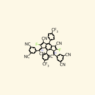 N#CC1=C(F)/C(=C(/C#N)c2cc(C#N)cc(C#N)c2)c2c1c(-c1ccc(C(F)(F)F)cc1)c1c(c2-c2ccc(C(F)(F)F)cc2)/C(=C(\C#N)c2cc(C#N)cc(C#N)c2)C(F)=C1C#N